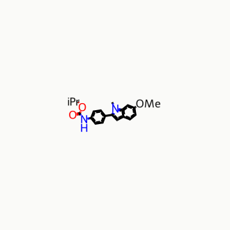 COc1ccc2cc(-c3ccc(NC(=O)OC(C)C)cc3)n(C)c2c1